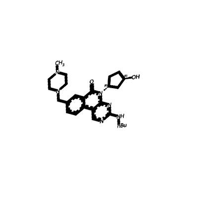 CCCCNc1ncc2c3ccc(CN4CCN(C)CC4)cc3c(=O)n([C@@H]3CC[C@@H](O)C3)c2n1